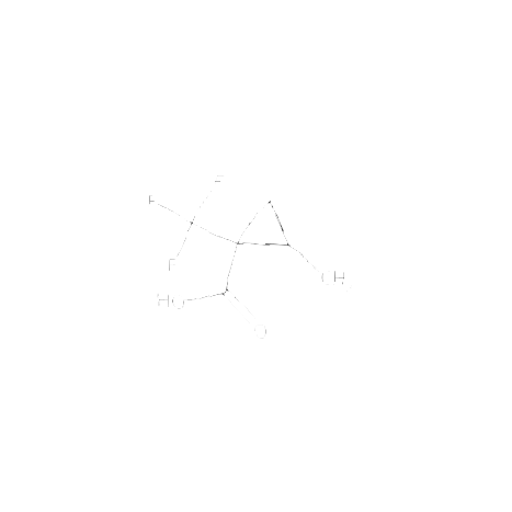 CC1CC1(C(=O)O)C(F)(F)F